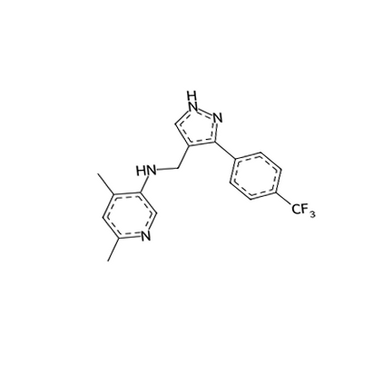 Cc1cc(C)c(NCc2c[nH]nc2-c2ccc(C(F)(F)F)cc2)cn1